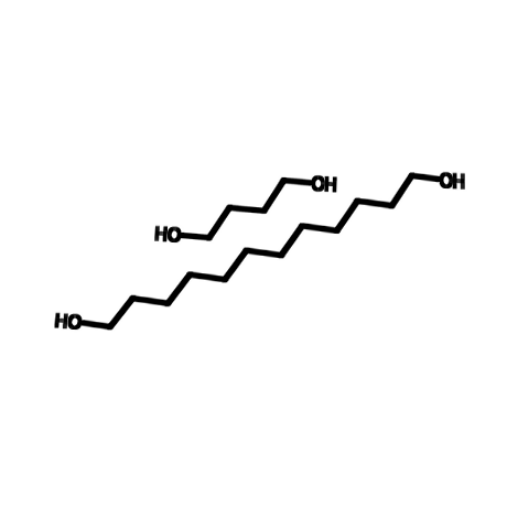 OCCCCCCCCCCCCO.OCCCCO